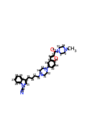 CN1CCN(C(=O)c2cc3cc(N4CCN(CCCCc5cn(C#N)c6ccccc56)CC4)ccc3o2)CC1